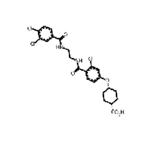 O=C(NCCNC(=O)c1ccc(O[C@H]2CC[C@@H](C(=O)O)CC2)cc1Cl)c1ccc(Cl)c(Cl)c1